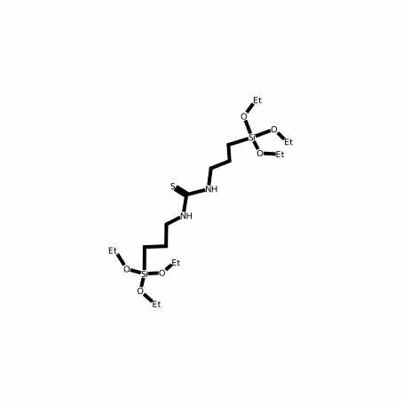 CCO[Si](CCCNC(=S)NCCC[Si](OCC)(OCC)OCC)(OCC)OCC